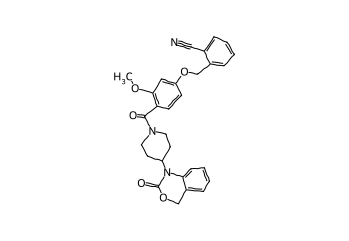 COc1cc(OCc2ccccc2C#N)ccc1C(=O)N1CCC(N2C(=O)OCc3ccccc32)CC1